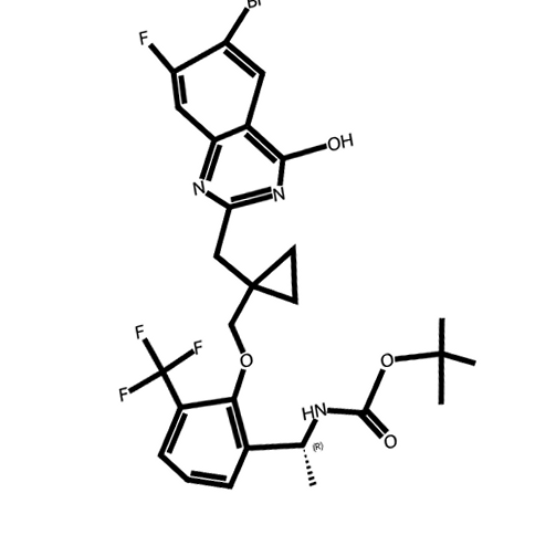 C[C@@H](NC(=O)OC(C)(C)C)c1cccc(C(F)(F)F)c1OCC1(Cc2nc(O)c3cc(Br)c(F)cc3n2)CC1